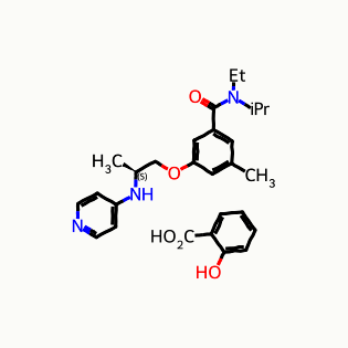 CCN(C(=O)c1cc(C)cc(OC[C@H](C)Nc2ccncc2)c1)C(C)C.O=C(O)c1ccccc1O